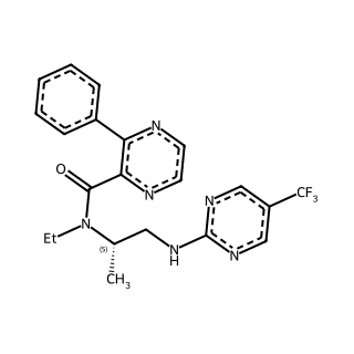 CCN(C(=O)c1nccnc1-c1ccccc1)[C@@H](C)CNc1ncc(C(F)(F)F)cn1